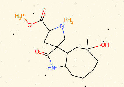 CC1(O)CCCCC2NC(=O)C3(CC(C(=O)OP)N(P)C3)C2C1